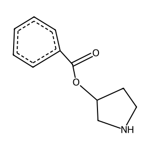 O=C(OC1CCNC1)c1ccccc1